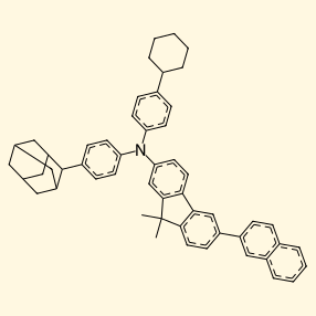 CC1(C)c2ccc(-c3ccc4ccccc4c3)cc2-c2ccc(N(c3ccc(C4CCCCC4)cc3)c3ccc(C4C5CC6CC(C5)CC4C6)cc3)cc21